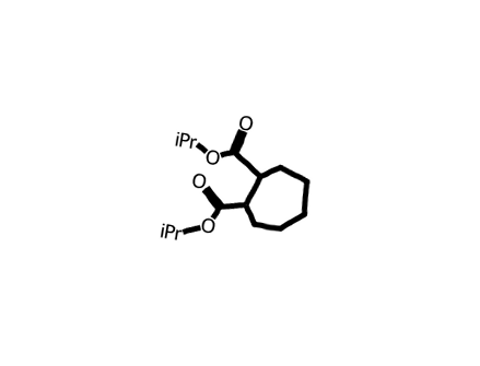 CC(C)OC(=O)C1CCCCCC1C(=O)OC(C)C